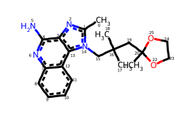 Cc1nc2c(N)nc3ccccc3c2n1CC(C)(C)CC1(C)OCCO1